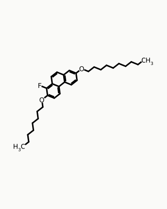 CCCCCCCCCCOc1ccc2c(ccc3c(F)c(OCCCCCCCC)ccc32)c1